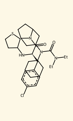 CCN(CC)C(=O)N(C1CCCCC1)C1CC2CCC(C1)N2C(=O)[C@@H](Cc1ccc(Cl)cc1)NC1CCSC1